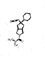 CN(C)C(=O)N1CC2CC(N=C=O)(C3CCCCC3)CC2C1